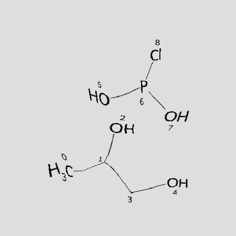 CC(O)CO.OP(O)Cl